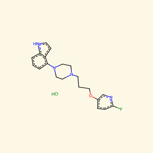 Cl.Fc1ccc(OCCCN2CCN(c3cccc4[nH]ccc34)CC2)cn1